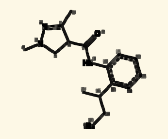 CC1=NN(C)CC1C(=O)Nc1ccccc1C(C)CC(C)(C)C